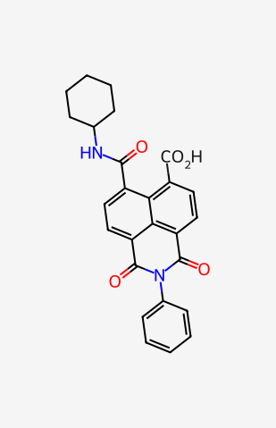 O=C(O)c1ccc2c3c(ccc(C(=O)NC4CCCCC4)c13)C(=O)N(c1ccccc1)C2=O